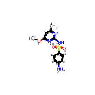 COc1cc(C)nc(NS(=O)(=O)c2ccc(N)cc2)n1